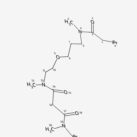 CC(C)CC(=O)N(C)CCCOCCN(C)C(=O)CC(=O)N(C)C(C)C